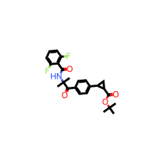 CC(C)(C)OC(=O)C1CC1c1ccc(C(=O)C(C)(C)NC(=O)c2c(F)cccc2F)cc1